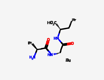 CC[C@H](C)[C@H](NC(=O)[C@@H](N)C(C)C)C(=O)N[C@@H](CC(C)C)C(=O)O